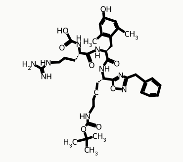 Cc1cc(O)cc(C)c1C[C@H](NC(=O)[C@H](CCCNC(=N)N)NC(=O)O)C(=O)N[C@@H](CCCCNC(=O)OC(C)(C)C)c1nc(Cc2ccccc2)no1